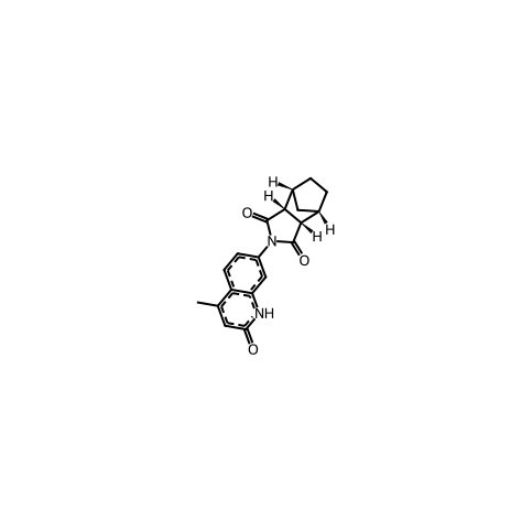 Cc1cc(=O)[nH]c2cc(N3C(=O)[C@@H]4[C@@H]5CC[C@@H](C5)[C@@H]4C3=O)ccc12